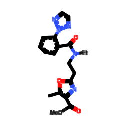 CCN(CCc1nc(C(=O)OC)c(C)o1)C(=O)c1ccccc1-n1nccn1